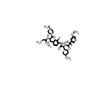 CCC(=O)N[C@@H](C(=O)N1CCN(C)CC1)[C@@H](C)c1ccc(NC(=O)[C@@H](NC(=O)C(F)(F)c2cncc(OC)c2)[C@H]2CC[C@H](C)CC2)c(F)c1